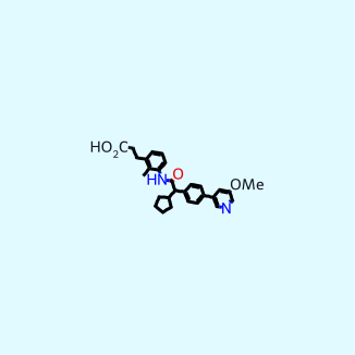 COc1cncc(-c2ccc(C(C(=O)Nc3cccc(CCC(=O)O)c3C)C3CCCC3)cc2)c1